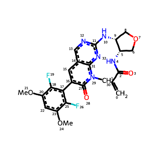 C=CC(=O)N[C@H]1COC[C@H]1Nc1ncc2cc(-c3c(F)c(OC)cc(OC)c3F)c(=O)n(C)c2n1